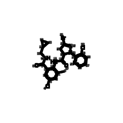 Cc1cc(Cl)cc(C(=O)NCC2CC2)c1NC(=O)C1CC(Br)=NN1c1ncccc1Cl